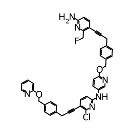 Nc1ccc(C#CCc2ccc(COc3ccc(Nc4ccc(C#CCc5ccc(COc6ccccn6)cc5)c(Cl)n4)cn3)cc2)c(CF)n1